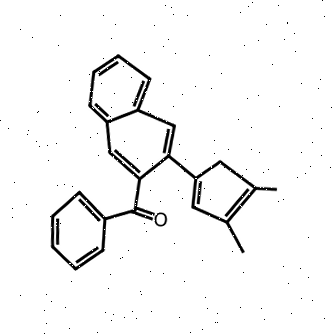 CC1=C(C)CC(c2cc3ccccc3cc2C(=O)c2ccccc2)=C1